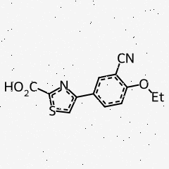 CCOc1ccc(-c2csc(C(=O)O)n2)cc1C#N